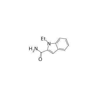 CCn1c(C(N)=O)cc2ccccc21